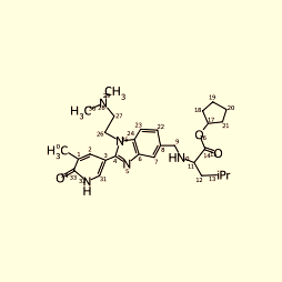 Cc1cc(-c2nc3cc(CNC(CC(C)C)C(=O)OC4CCCC4)ccc3n2CCN(C)C)c[nH]c1=O